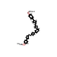 CCCCCCOC1CCC(c2ccc(CCc3ccc(-c4cccc(-c5ccc(CCc6ccc(C7CCC(OCCCCCC)CC7)cc6)cc5)c4)cc3)cc2)CC1